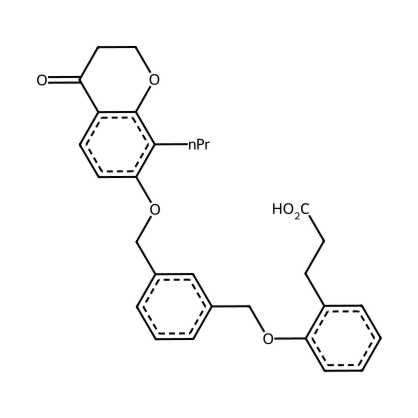 CCCc1c(OCc2cccc(COc3ccccc3CCC(=O)O)c2)ccc2c1OCCC2=O